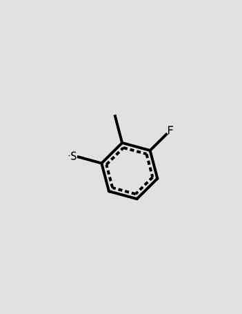 Cc1c(F)cccc1[S]